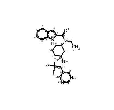 CCN(C(=O)c1cc2ccccc2[nH]1)C1CCCC(N[C@H](c2cncnc2)C(F)(F)F)C1